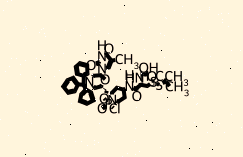 Cc1cn([C@H]2CN(C(c3ccccc3)(c3ccccc3)c3ccccc3)C[C@@H](COP(=O)(Cl)N3CCC(NC(=O)C(CSSC(C)(C)C)NC(=O)O)CC3)O2)c(=O)[nH]c1=O